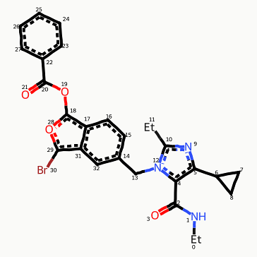 CCNC(=O)c1c(C2CC2)nc(CC)n1Cc1ccc2c(OC(=O)c3ccccc3)oc(Br)c2c1